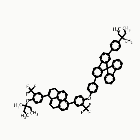 CCC(C)(CC)Oc1ccc(C2=CCc3ccc4c(-c5ccc(Oc6ccc(-c7ccc8c(c7)C7(c9ccccc9-c9ccccc97)c7cc(-c9ccc(C(C)(CC)CC)cc9)ccc7-8)cc6)c(C(F)(F)F)c5)ccc5c4c3C2=CC5)cc1C(F)(F)F